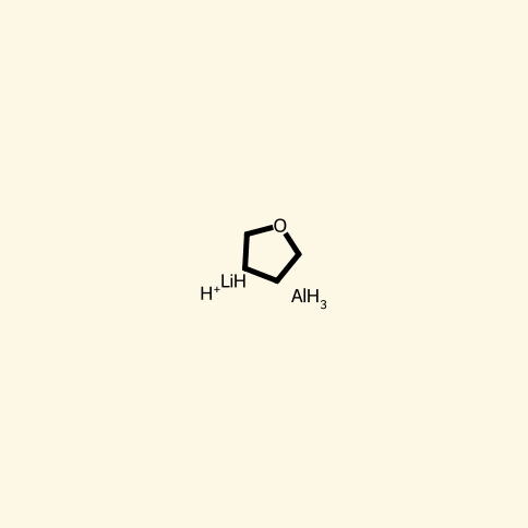 C1CCOC1.[AlH3].[H+].[LiH]